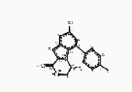 Cc1ccc(-c2cc(F)cc3cc4n(c23)[C@H](C)CNC4=O)cc1